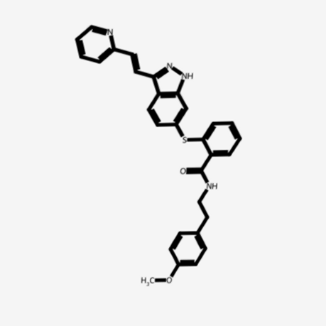 COc1ccc(CCNC(=O)c2ccccc2Sc2ccc3c(/C=C/c4ccccn4)n[nH]c3c2)cc1